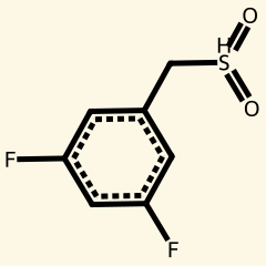 O=[SH](=O)Cc1cc(F)cc(F)c1